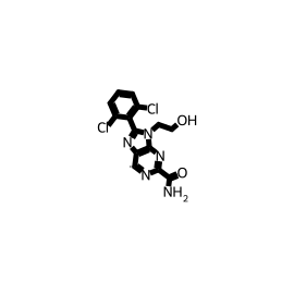 NC(=O)c1n[c]c2nc(-c3c(Cl)cccc3Cl)n(CCO)c2n1